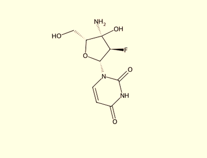 N[C@@]1(O)[C@@H](CO)O[C@@H](n2ccc(=O)[nH]c2=O)[C@@H]1F